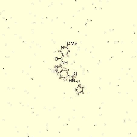 COc1ccc(C(=O)Nc2n[nH]c3ccc(C(=O)NCc4cccs4)cc23)cn1